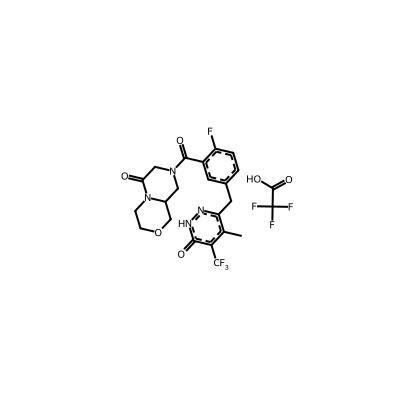 Cc1c(Cc2ccc(F)c(C(=O)N3CC(=O)N4CCOCC4C3)c2)n[nH]c(=O)c1C(F)(F)F.O=C(O)C(F)(F)F